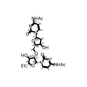 CC[C@H]1O[C@@H](n2ccc(NC(C)=O)nc2=O)[C@@H](OC[C@H]2O[C@@H](n3ccc(NC(C)=O)nc3=O)CC2O)C1O